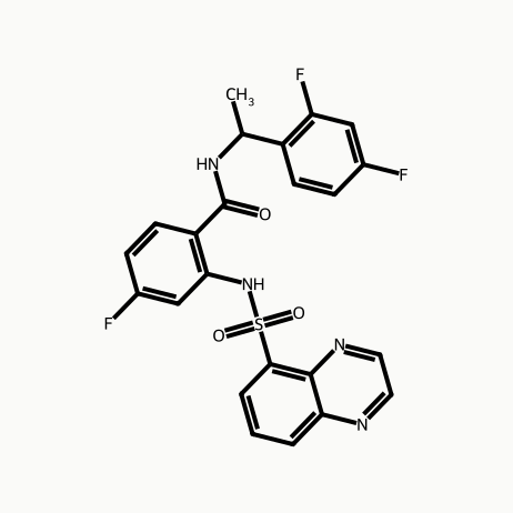 CC(NC(=O)c1ccc(F)cc1NS(=O)(=O)c1cccc2nccnc12)c1ccc(F)cc1F